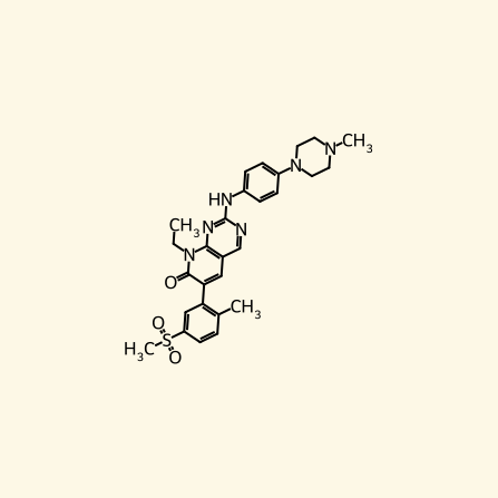 CCn1c(=O)c(-c2cc(S(C)(=O)=O)ccc2C)cc2cnc(Nc3ccc(N4CCN(C)CC4)cc3)nc21